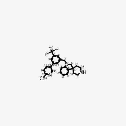 FC(F)(F)c1cc(COCC2(c3ccccc3)CCNCC2)cc(-c2ccc(Cl)nc2)c1